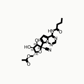 CCCC(=O)Nc1ncnn2c([C@]3(C#N)O[C@H](COC(C)=O)[C@@H](O)[C@H]3O)ccc12